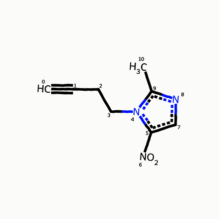 C#CCCn1c([N+](=O)[O-])cnc1C